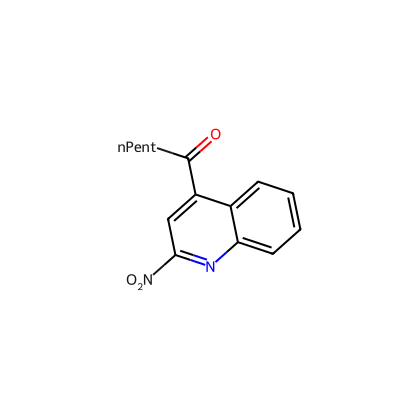 CCCCCC(=O)c1cc([N+](=O)[O-])nc2ccccc12